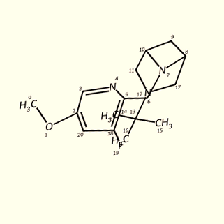 COc1cnc(CN2C3CC2CN(C(C)(C)C)C3)c(F)c1